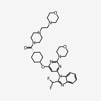 O=C([C@H]1CC[C@H](Oc2cc(-n3c(C(F)F)nc4ccccc43)nc(N3CCOCC3)n2)CC1)N1CCN(CCN2CCOCC2)CC1